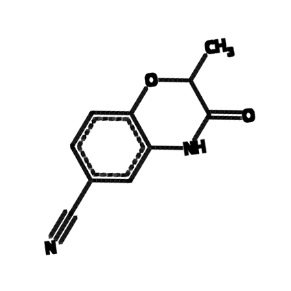 CC1Oc2ccc(C#N)cc2NC1=O